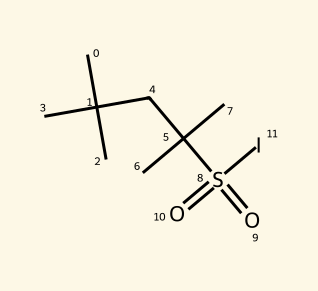 CC(C)(C)CC(C)(C)S(=O)(=O)I